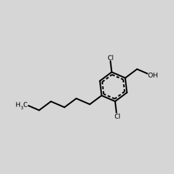 CCCCCCc1cc(Cl)c(CO)cc1Cl